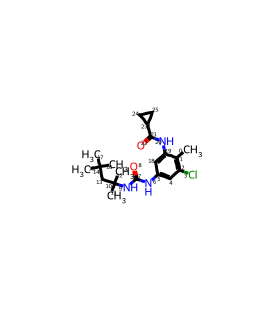 Cc1c(Cl)cc(NC(=O)NC(C)(C)CC(C)(C)C)cc1NC(=O)C1CC1